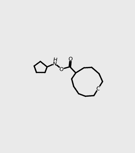 O=C(ONC1CCCC1)C1CCCCCCCCCC1